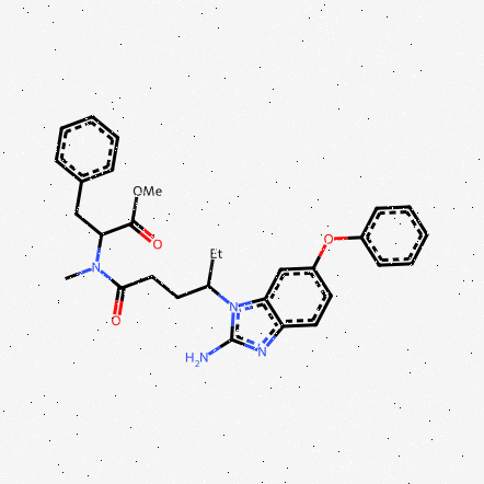 CCC(CCC(=O)N(C)C(Cc1ccccc1)C(=O)OC)n1c(N)nc2ccc(Oc3ccccc3)cc21